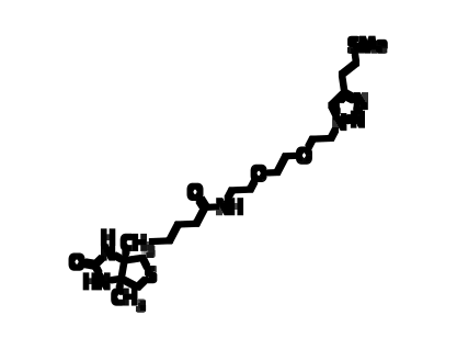 CSCCc1cn(CCOCCOCCNC(=O)CCCC[C@@H]2SC[C@]3(C)NC(=O)N[C@]23C)nn1